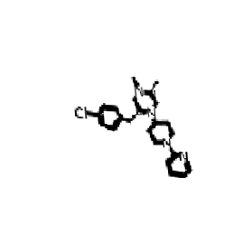 C[C@H]1CN(C2CCN(c3ccccn3)CC2)[C@@H](Cc2ccc(Cl)cc2)CN1C